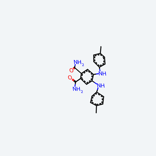 Cc1ccc(Nc2cc(C(N)=O)c(C(N)=O)cc2Nc2ccc(C)cc2)cc1